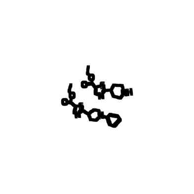 CCOC(=O)c1cnc(C2CCN(c3ccccc3)CC2)s1.CCOC(=O)c1cnc(C2CCNCC2)s1